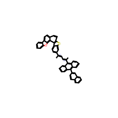 C/C(=C\C=C(/C)c1c2ccccc2c(-c2ccc3ccccc3c2)c2ccccc12)c1ccc2c(c1)sc1ccc3ccc4c5ccccc5oc4c3c12